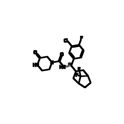 O=C1CN(C(=O)N[C@H](c2ccc(F)c(Cl)c2)C2CC3CCC(C2)C3(F)F)CCN1